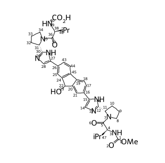 COC(=O)N[C@H](C(=O)N1CCC[C@H]1c1ncc(-c2ccc3c(c2)C(O)c2cc(-c4cnc([C@@H]5CCCN5C(=O)[C@@H](NC(=O)O)C(C)C)[nH]4)ccc2-3)[nH]1)C(C)C